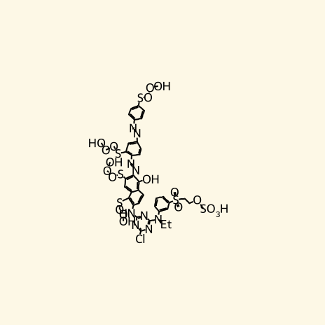 CCN(c1cccc(S(=O)(=O)CCOS(=O)(=O)O)c1)c1nc(Cl)nc(Nc2ccc3c(O)c(/N=N/c4ccc(/N=N/c5ccc(SOOO)cc5)cc4SOOO)c(SOOO)cc3c2SOOO)n1